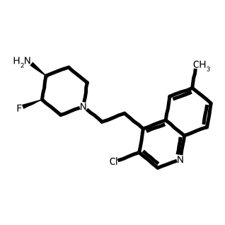 Cc1ccc2ncc(Cl)c(CCN3CC[C@H](N)[C@H](F)C3)c2c1